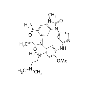 C=CC(=O)Nc1cc(Nc2nccc(-n3c(=O)n(C)c4cc(C(N)=O)ccc43)n2)c(OC)cc1N(C)CCN(C)C